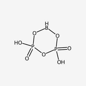 O=P1(O)OBOP(=O)(O)O1